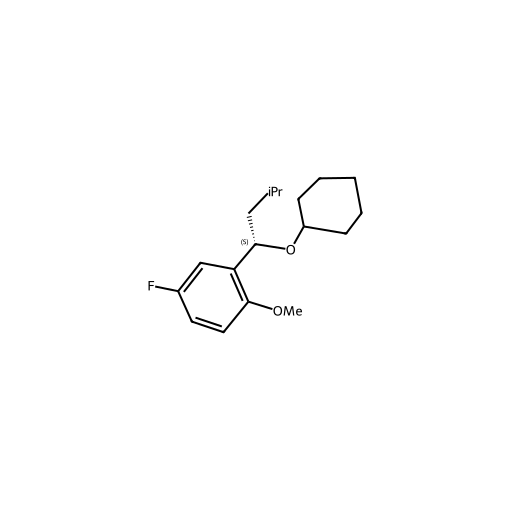 COc1ccc(F)cc1[C@H](CC(C)C)OC1CCCCC1